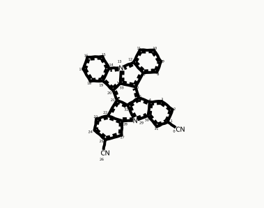 N#Cc1ccc2c3c4c5ccccc5n5c6ccccc6c(c6c7ccc(C#N)cc7n(c2c1)c36)c45